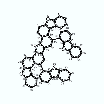 c1ccc2c(c1)oc1ccc3c4sc5c(cc(-c6cccc7c6sc6ccccc67)c6c5ccc5oc7ccccc7c56)c4cc(-c4cccc5c4sc4ccccc45)c3c12